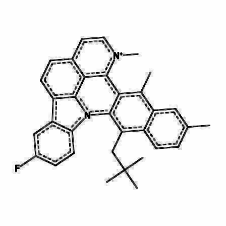 Cc1ccc2c(CC(C)(C)C)c3c(c(C)c2c1)c1c2c(ccc4c5cc(F)ccc5n3c42)cc[n+]1C